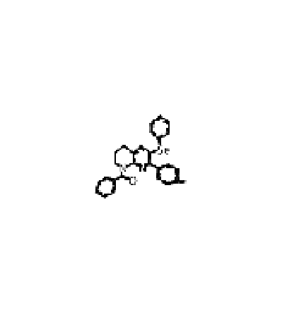 Cc1ccc(-c2nc3c(cc2[Se]c2ccccc2)CCCN3C(=O)c2ccccc2)cc1